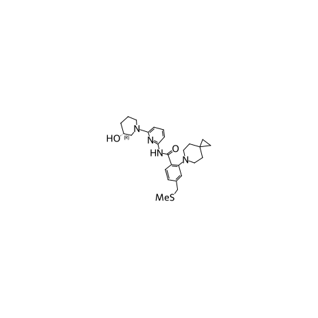 CSCc1ccc(C(=O)Nc2cccc(N3CCC[C@@H](O)C3)n2)c(N2CCC3(CC2)CC3)c1